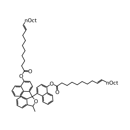 CCCCCCCC/C=C/CCCCCCCC(=O)Oc1ccc(C2(c3ccc(OC(=O)CCCCCCC/C=C/CCCCCCCC)c4ccccc34)OC(C)c3ccccc32)c2ccccc12